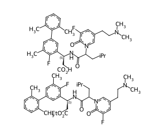 CCOC(=O)C[C@H](NC(=O)C(CC(C)C)n1cc(CCN(C)C)cc(F)c1=O)c1cc(-c2c(C)cccc2C)cc(C)c1F.Cc1cc(-c2c(C)cccc2C)cc([C@H](CC(=O)O)NC(=O)C(CC(C)C)n2cc(CCN(C)C)cc(F)c2=O)c1F